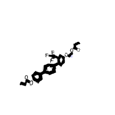 C=CC(=O)O/C=C\Oc1ccc(-c2ccc(-c3ccc(OC(=O)C=C)cc3)cc2)c(C(F)(F)F)c1